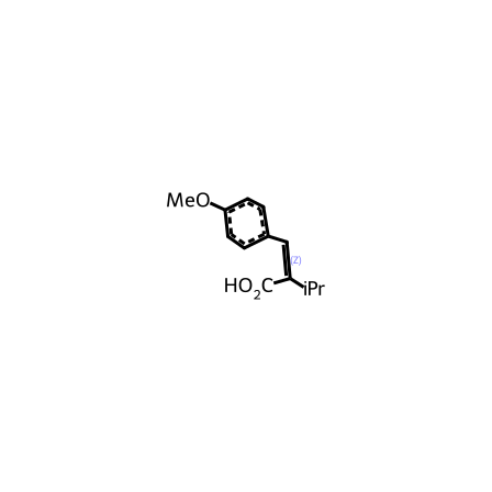 COc1ccc(/C=C(\C(=O)O)C(C)C)cc1